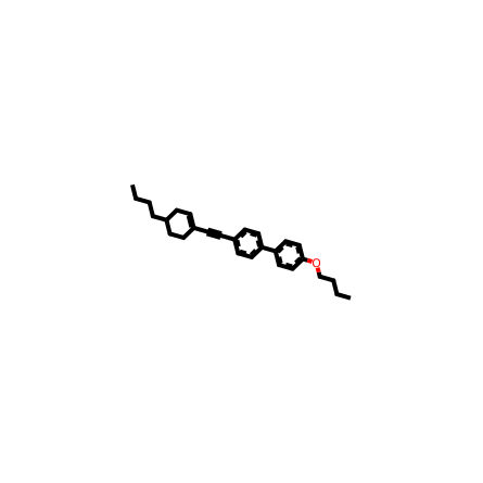 CCCCOc1ccc(-c2ccc(C#CC3=CCC(CCCC)CC3)cc2)cc1